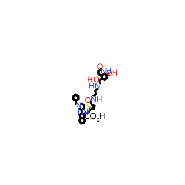 O=C(NCCCCNCC(O)c1ccc(O)c2[nH]c(=O)ccc12)c1ccc(CN[C@@]2(C(=O)O)c3ccccc3CC2C2CCCN(Cc3ccccc3)C2)s1